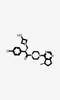 C[C@@H]1CCc2ncnc(N3CCN(C(=O)[C@H](CN4CC(O)C4)c4ccc(Cl)cc4)CC3)c21